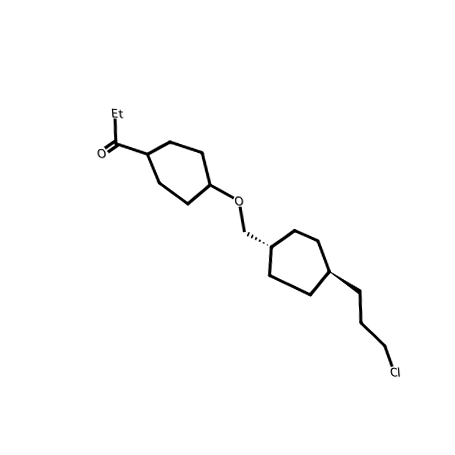 CCC(=O)C1CCC(OC[C@H]2CC[C@H](CCCCl)CC2)CC1